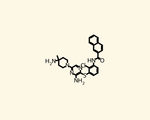 CC1(N)CCN(c2cnc(Sc3cccc(NC(=O)c4ccc5ccccc5c4)c3Cl)c(N)n2)CC1